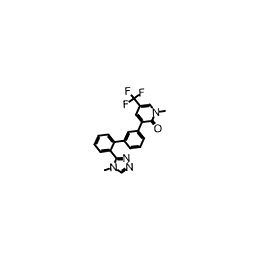 Cn1cnnc1-c1ccccc1-c1cccc(-c2cc(C(F)(F)F)cn(C)c2=O)c1